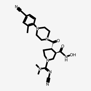 Cc1cc(C#N)ccc1N1CCN(C(=O)[C@H]2CCN(C(=NC#N)N(C)C)C[C@@H]2C(=O)NO)CC1